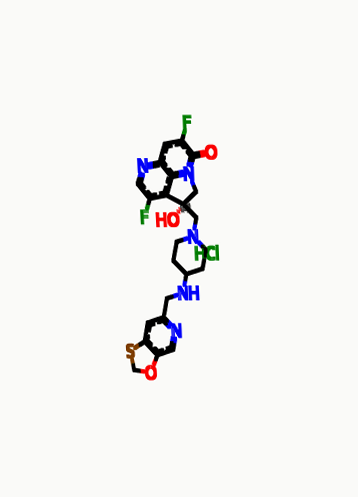 Cl.O=c1c(F)cc2ncc(F)c3c2n1C[C@@]3(O)CN1CCC(NCc2cc3c(cn2)OCS3)CC1